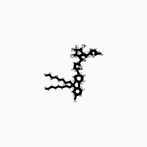 CCCCCCCCC1(CCCCCCCC)c2cc(C)ccc2-c2ccc(-c3ccc(-c4sc(-c5ccc(C)s5)c5c4C(=O)C(F)(F)C5=O)s3)cc21